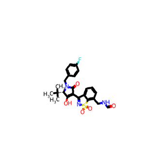 CC(C)(C)[C@H]1C(O)=C(C2=NS(=O)(=O)c3c(CNC=O)cccc32)C(=O)N1Cc1ccc(F)cc1